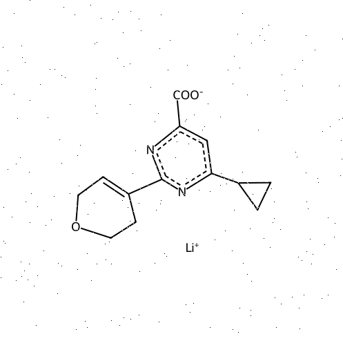 O=C([O-])c1cc(C2CC2)nc(C2=CCOCC2)n1.[Li+]